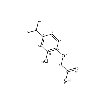 CC(C)c1ccc(OCC(=O)O)c(Cl)c1